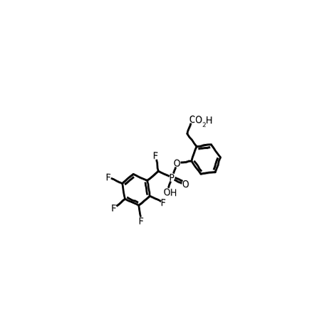 O=C(O)Cc1ccccc1OP(=O)(O)C(F)c1cc(F)c(F)c(F)c1F